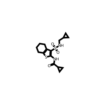 O=C(Nc1sc2c(c1S(=O)(=O)NCC1CC1)CCCC2)C1CC1